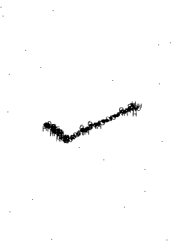 C=CC(=O)Nc1cccc(Nc2nc(Nc3ccc(OCCOCCNC(=O)CCCC(=O)NCCCOCCOCCOCCCNC(=O)CCCC4SC[C@@H]5NC(=O)N[C@H]45)cc3)ncc2F)c1